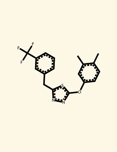 Cc1ccc(Oc2nnc(Cc3cccc(C(F)(F)F)c3)s2)cc1C